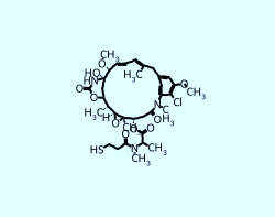 COc1cc2cc(c1Cl)N(C)C(=O)C[C@H](OC(=O)C(C)N(C)C(=O)CCS)[C@]1(C)O[C@H]1[C@H](C)C1C[C@@](O)(NC(=O)O1)[C@H](OC)/C=C/C=C(\C)C2